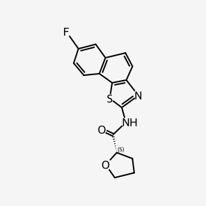 O=C(Nc1nc2ccc3cc(F)ccc3c2s1)[C@@H]1CCCO1